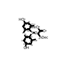 CCCCCCCCCCCC(=O)OC.Cc1cc(O)cc(C)c1[S+]([O-])c1c(C)cc(O)cc1C